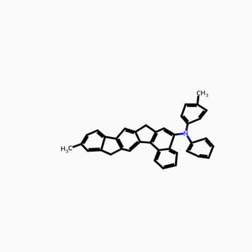 Cc1ccc(N(c2ccccc2)c2cc3c(c4ccccc24)-c2cc4c(cc2C3)-c2ccc(C)cc2C4)cc1